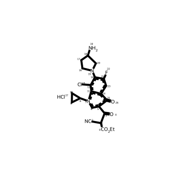 CCOC(=O)C(C#N)C(=O)c1cn(C2CC2)c2c(Cl)c(N3CCC(N)C3)c(F)cc2c1=O.Cl